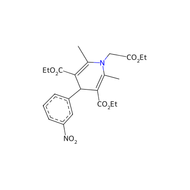 CCOC(=O)CN1C(C)=C(C(=O)OCC)C(c2cccc([N+](=O)[O-])c2)C(C(=O)OCC)=C1C